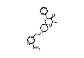 CC1OC2(CCN(CCc3ccnc(N)c3)CC2)CN(c2ccccc2)C1=O